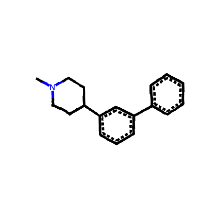 CN1CCC(c2cccc(-c3ccccc3)c2)CC1